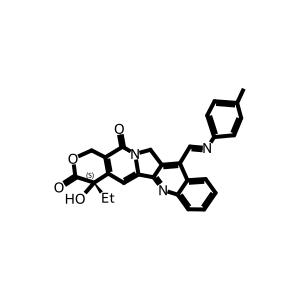 CC[C@@]1(O)C(=O)OCc2c1cc1n(c2=O)Cc2c-1nc1ccccc1c2C=Nc1ccc(C)cc1